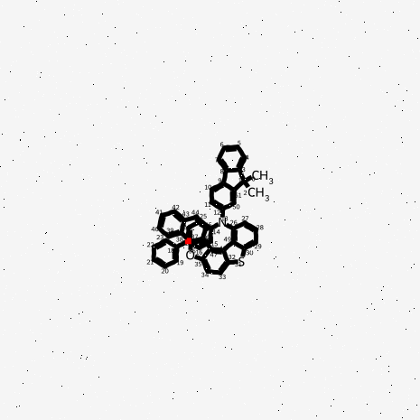 CC1(C)c2ccccc2-c2ccc(N(c3ccc(-c4ccccc4)cc3)c3cccc4sc5ccc6oc7c8ccccc8ccc7c6c5c34)cc21